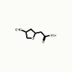 COC(=O)CC1CC(C=O)CO1